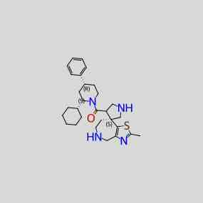 Cc1nc2c(s1)[C@]1(CCNC2)CNCC1C(=O)N1CC[C@@H](c2ccccc2)C[C@H]1C1CCCCC1